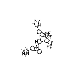 Cc1nc(C)nc(-c2ccc3c(c2)c2ccccc2n3-c2cc(-c3cc(C(F)(F)F)cc(C(F)(F)F)c3)c(-n3c4ccccc4c4cc(-c5nc(C)nc(C)n5)ccc43)cn2)n1